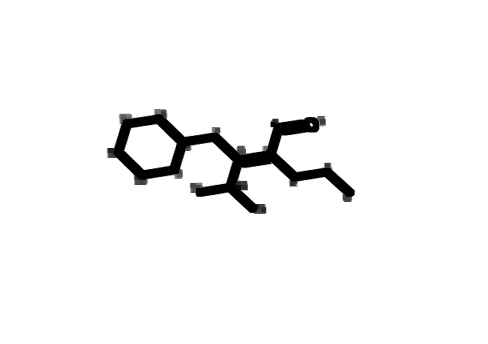 CCC/C(C=O)=C(/CC1CCCCC1)C(C)C